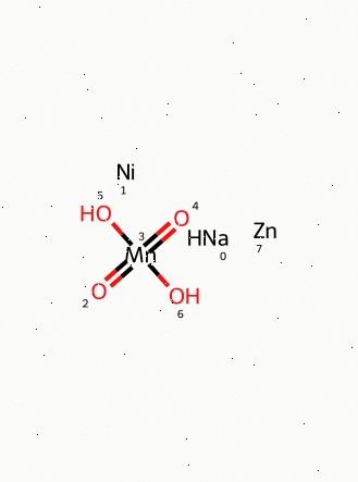 [NaH].[Ni].[O]=[Mn](=[O])([OH])[OH].[Zn]